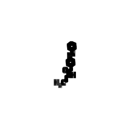 C=CCNC(=O)Cc1ccc(N=Nc2ccccc2)cc1